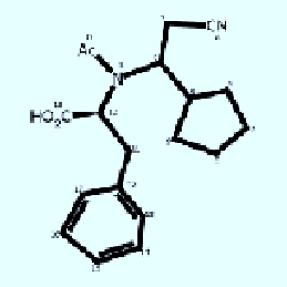 CC(=O)N(C(CC#N)C1CCCC1)[C@@H](Cc1ccccc1)C(=O)O